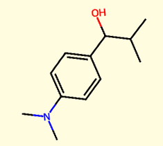 CC(C)C(O)c1ccc(N(C)C)cc1